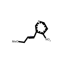 COC/C=C/c1cnccc1[N+](=O)[O-]